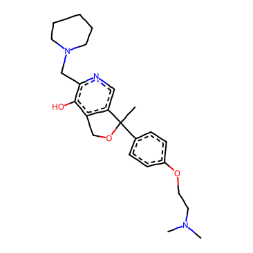 CN(C)CCOc1ccc(C2(C)OCc3c2cnc(CN2CCCCC2)c3O)cc1